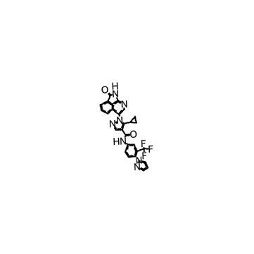 O=C(Nc1ccc(-n2cccn2)c(C(F)(F)F)c1)c1cnn(-c2cnc3c4c(cccc24)C(=O)N3)c1C1CC1